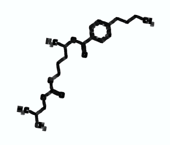 CCCCc1ccc(C(=O)OC(C)CCCOC(=O)OCC(C)C)cc1